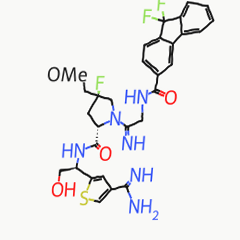 COC[C@@]1(F)C[C@@H](C(=O)N[C@H](CO)c2cc(C(=N)N)cs2)N(C(=N)CNC(=O)c2ccc3c(c2)-c2ccccc2C3(F)F)C1